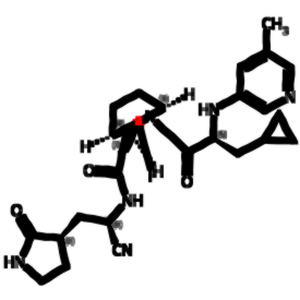 Cc1cncc(N[C@@H](CC2CC2)C(=O)N2[C@@H]3CC[C@H]([C@@H]2C(=O)N[C@@H](C#N)C[C@H]2CCNC2=O)C(F)(F)C3)c1